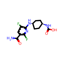 NC(=O)c1cc(F)c(N[C@H]2CC[C@H](NC(=O)O)CC2)nc1F